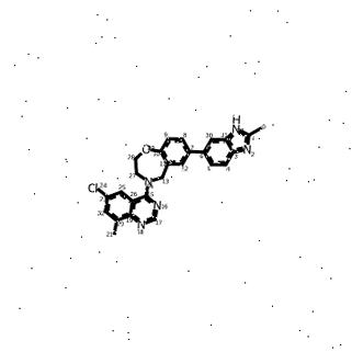 Cc1nc2ccc(-c3ccc4c(c3)CN(c3ncnc5c(C)cc(Cl)cc35)CCO4)cc2[nH]1